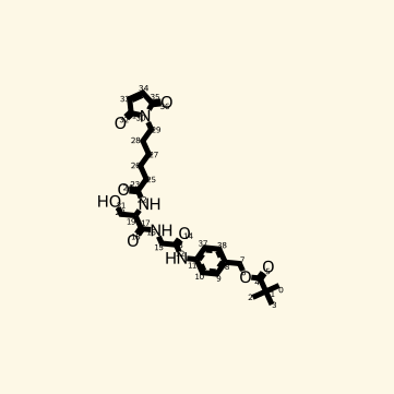 CC(C)(C)C(=O)OCc1ccc(NC(=O)CNC(=O)C(CO)NC(=O)CCCCCN2C(=O)C=CC2=O)cc1